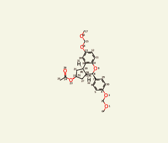 COCOc1ccc([C@@H]2Oc3ccc(OCOC)cc3[C@@H]3C[C@H](OC(C)=O)C[C@@H]32)cc1